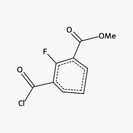 COC(=O)c1cccc(C(=O)Cl)c1F